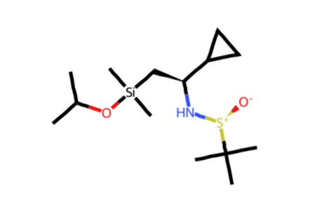 CC(C)O[Si](C)(C)C[C@H](N[S@@+]([O-])C(C)(C)C)C1CC1